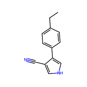 CCc1ccc(-c2c[nH]cc2C#N)cc1